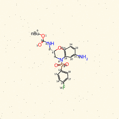 CCCCOC(=O)NC[C@H]1CN(S(=O)(=O)c2ccc(F)cc2)c2cc(N)ccc2O1